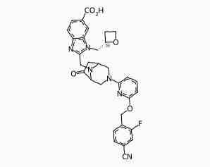 N#Cc1ccc(COc2cccc(N3CC4CC(=O)C(C3)N4Cc3nc4ccc(C(=O)O)cc4n3C[C@@H]3CCO3)n2)c(F)c1